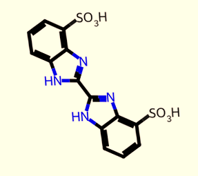 O=S(=O)(O)c1cccc2[nH]c(-c3nc4c(S(=O)(=O)O)cccc4[nH]3)nc12